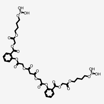 O=C(COC(=O)c1ccccc1OC(=O)COC(=O)CC(=O)OCC(=O)Oc1ccccc1C(=O)OCC(=O)OCCCCON(O)O)OCCCCON(O)O